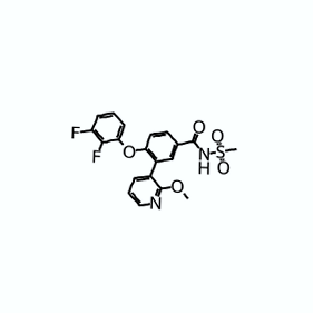 COc1ncccc1-c1cc(C(=O)NS(C)(=O)=O)ccc1Oc1cccc(F)c1F